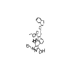 CCOC(=O)c1[nH]c2c(-c3c(CO)nn(CCOC)c3C3CC3)cccc2c1CCCOc1cccc2ccccc12